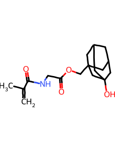 C=C(C)C(=O)NCC(=O)OCC12CC3CC(CC(O)(C3)C1)C2